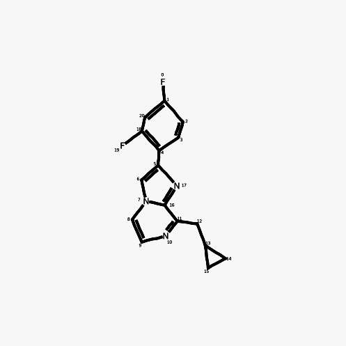 Fc1ccc(-c2cn3ccnc(CC4CC4)c3n2)c(F)c1